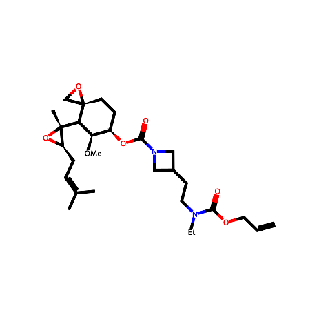 C=CCOC(=O)N(CC)CCC1CN(C(=O)O[C@@H]2CC[C@]3(CO3)C([C@@]3(C)O[C@@H]3CC=C(C)C)[C@@H]2OC)C1